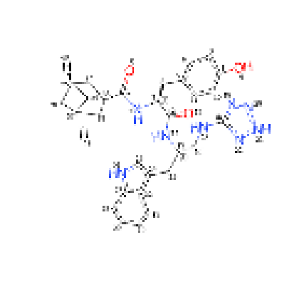 O=C(N[C@@H](Cc1ccc(O)cc1)C(=O)N[C@H](CNc1nn[nH]n1)Cc1c[nH]c2ccccc12)C1C[C@H]2C[C@H](C1)C2